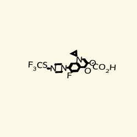 O=C(O)Oc1cn(C2CC2)c2cc(N3CCN(CSC(F)(F)F)CC3)c(F)cc2c1=O